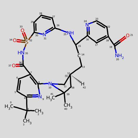 CC(C)(C)c1ccc2c(n1)N1C[C@@H](CCC(c3cc(C(N)=O)ccn3)Nc3cccc(n3)S(=O)(=O)NC2=O)CC1(C)C